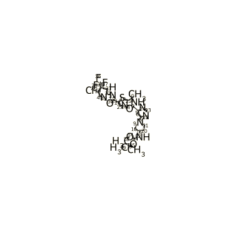 CC(NC(=O)c1cc(N2CCC(NC(=O)OC(C)(C)C)CC2)ncn1)c1ncc(C(=O)Nc2cc(C(F)(F)F)c(Cl)cn2)s1